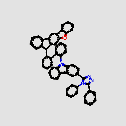 c1ccc(-c2nnc(-c3ccc4c(c3)c3ccccc3n4-c3ccccc3-c3ccccc3C3c4ccccc4-c4cc5c(cc43)oc3ccccc35)n2-c2ccccc2)cc1